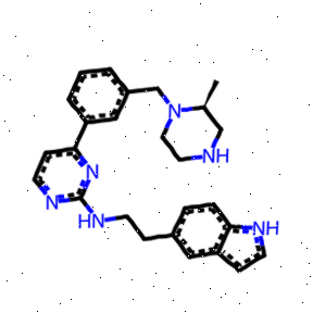 C[C@H]1CNCCN1Cc1cccc(-c2ccnc(NCCc3ccc4[nH]ccc4c3)n2)c1